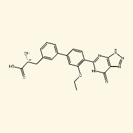 CCOc1cc(-c2cccc(C[C@@H](O)C(=O)O)c2)ccc1-c1nc2[nH]nnc2c(=O)[nH]1